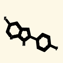 Fc1ccc(-c2cc3cc(F)cnc3[nH]2)cc1